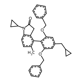 Cc1ccc2c(c1-c1c(OCc3ccccc3)cc(CC3CC3)cc1OCc1ccccc1)CC(=O)N2C1CC1